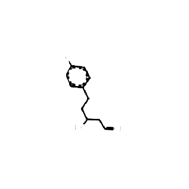 C=CCC(CC)CCc1ccc(C(F)(F)F)cc1